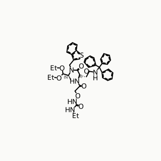 CCNC(=O)NOCC(=O)N[C@@H](CC(=O)NC(c1ccccc1)(c1ccccc1)c1ccccc1)C(=O)N(Cc1csc2ccccc12)[C@@H](C)C(OCC)OCC